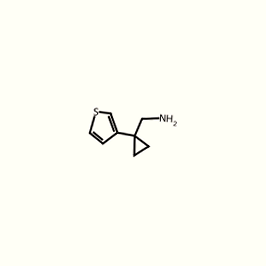 NCC1(c2ccsc2)CC1